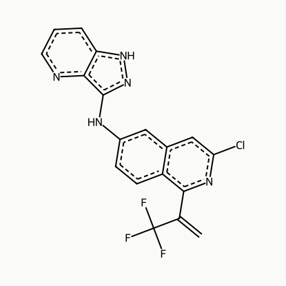 C=C(c1nc(Cl)cc2cc(Nc3n[nH]c4cccnc34)ccc12)C(F)(F)F